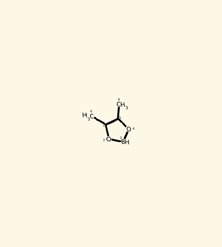 CC1OBOC1C